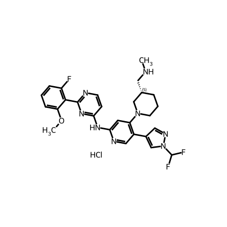 CNC[C@@H]1CCCN(c2cc(Nc3ccnc(-c4c(F)cccc4OC)n3)ncc2-c2cnn(C(F)F)c2)C1.Cl